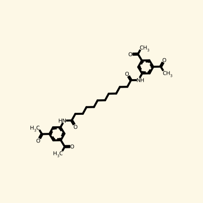 CC(=O)c1cc(NC(=O)CCCCCCCCCCC(=O)Nc2cc(C(C)=O)cc(C(C)=O)c2)cc(C(C)=O)c1